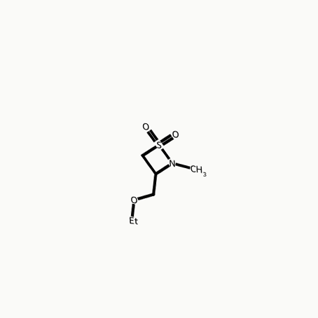 CCOCC1CS(=O)(=O)N1C